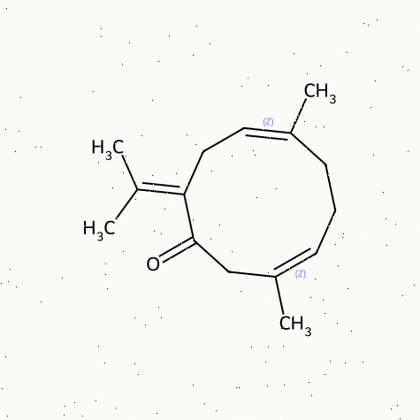 CC(C)=C1C/C=C(/C)CC/C=C(/C)CC1=O